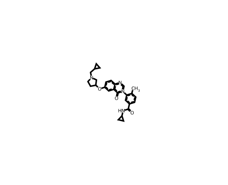 Cc1ccc(C(=O)NC2CC2)cc1-n1cnc2ccc(OC3CCN(CC4CC4)C3)cc2c1=O